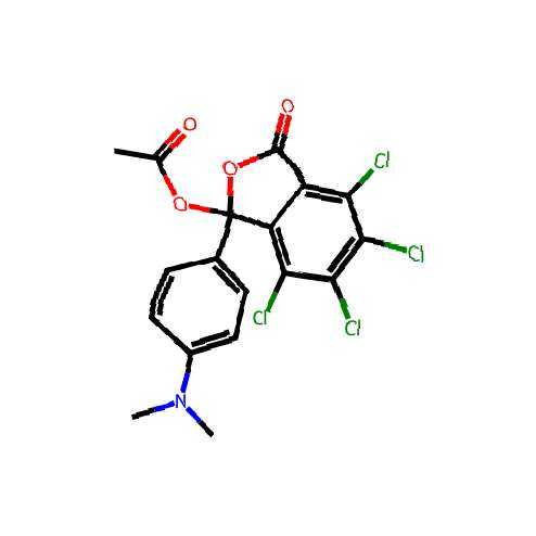 CC(=O)OC1(c2ccc(N(C)C)cc2)OC(=O)c2c(Cl)c(Cl)c(Cl)c(Cl)c21